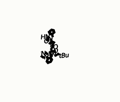 CN1CCN(c2ccccc2C2SC(CC(=O)N3CC(N4Cc5ccccc5NC4=O)C3)C(=O)N2CCC(C)(C)C)CC1